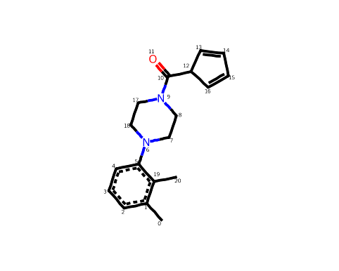 Cc1cccc(N2CCN(C(=O)C3C=CC=C3)CC2)c1C